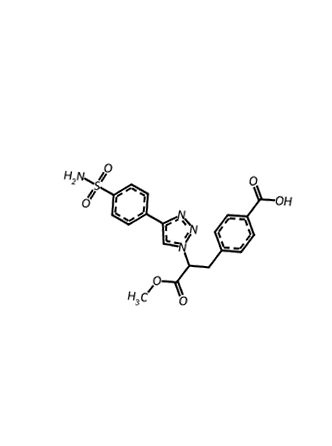 COC(=O)C(Cc1ccc(C(=O)O)cc1)n1cc(-c2ccc(S(N)(=O)=O)cc2)nn1